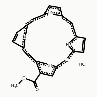 COC(=O)c1cc2cc3nc(cc4ccc(cc5nc(cc1[nH]2)C=C5)[nH]4)C=C3.Cl